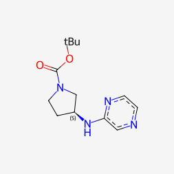 CC(C)(C)OC(=O)N1CC[C@H](Nc2cnccn2)C1